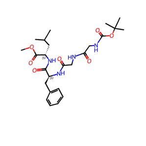 COC(=O)[C@H](CC(C)C)NC(=O)[C@H](Cc1ccccc1)NC(=O)CNC(=O)CNC(=O)OC(C)(C)C